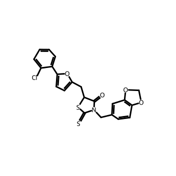 O=C1C(Cc2ccc(-c3ccccc3Cl)o2)SC(=S)N1Cc1ccc2c(c1)OCO2